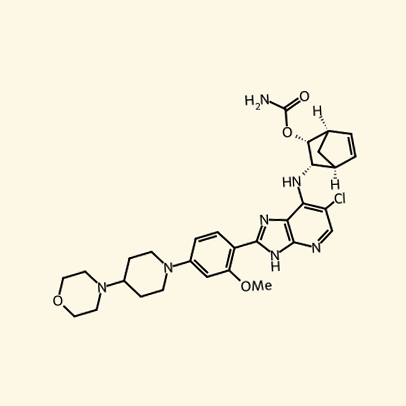 COc1cc(N2CCC(N3CCOCC3)CC2)ccc1-c1nc2c(N[C@@H]3[C@H](OC(N)=O)[C@H]4C=C[C@@H]3C4)c(Cl)cnc2[nH]1